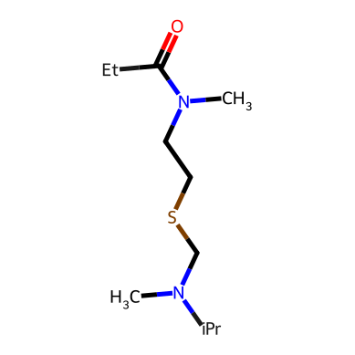 CCC(=O)N(C)CCSCN(C)C(C)C